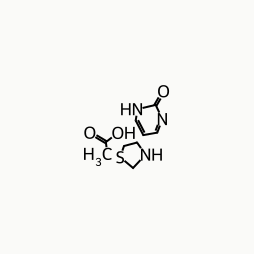 C1CSCN1.CC(=O)O.O=c1nccc[nH]1